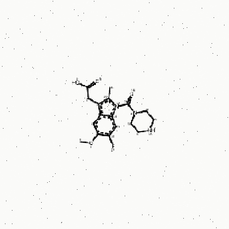 COc1cc2c(CC(=O)O)c(C)n(C(=O)N3CCNCC3)c2cc1F